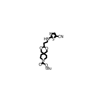 CC(C)(C)OC(=O)N1CCC2(CC1)COC(CCNc1ncc(C#N)s1)OC2